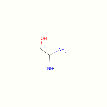 [NH]C(N)CO